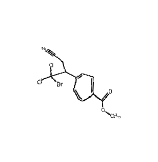 COC(=O)c1ccc(C(CC#N)C(Cl)(Cl)Br)cc1